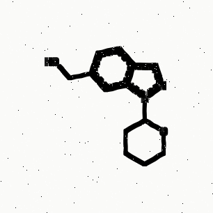 OCc1ccc2cnn(C3CCCCO3)c2c1